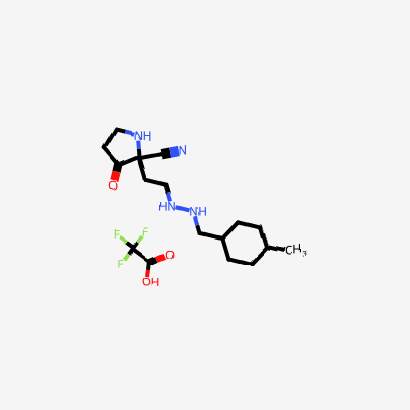 CC1CCC(CNNCCC2(C#N)NCCC2=O)CC1.O=C(O)C(F)(F)F